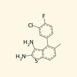 Cc1ccc2sc(N)c(N)c2c1-c1ccc(F)c(Cl)c1